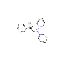 c1ccc([SiH2]CN(c2ccccc2)c2ccccc2)cc1